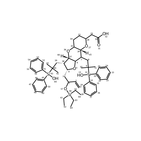 C=CC(C[C@H]1OC2C(CC(C)(C)[Si](O)(c3ccccc3)c3ccccc3)[C@H]3OC(CC(=O)O)CCC3O[C@H]2[C@H]1CC(C)(C)[Si](O)(c1ccccc1)c1ccccc1)O[Si](CC)(CC)CC